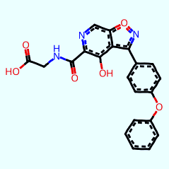 O=C(O)CNC(=O)c1ncc2onc(-c3ccc(Oc4ccccc4)cc3)c2c1O